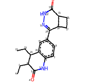 CCC1C(=O)Nc2ccc(C3=NNC(=O)C4CCC34)cc2C1CC